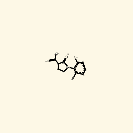 O=C(O)C1CCN(c2c(F)cccc2F)C1=O